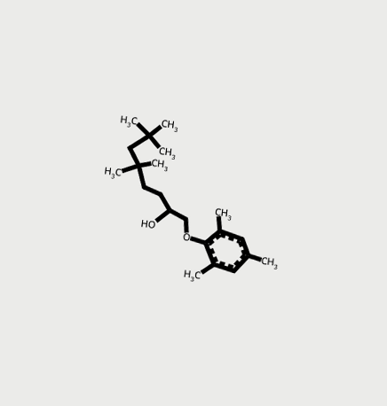 Cc1cc(C)c(OCC(O)CCC(C)(C)CC(C)(C)C)c(C)c1